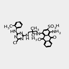 Cc1ccccc1Nc1nc(Cl)nc(NCC(C)(C)CNc2cc(S(=O)(=O)O)c(N)c3c2C(=O)c2ccccc2C3=O)n1